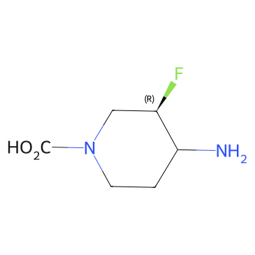 NC1CCN(C(=O)O)C[C@H]1F